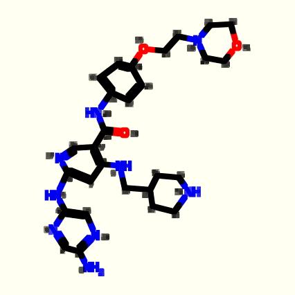 Nc1cnc(Nc2cc(NCC3CCNCC3)c(C(=O)Nc3ccc(OCCN4CCOCC4)cc3)cn2)cn1